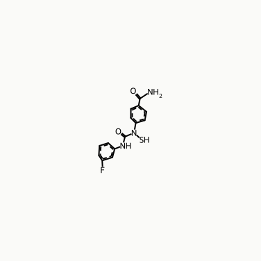 NC(=O)c1ccc(N(S)C(=O)Nc2cccc(F)c2)cc1